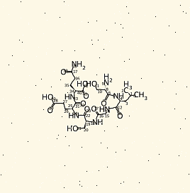 CC(C)C[C@H](NC(=O)[C@@H](N)CO)C(=O)NCC(=O)N[C@@H](CO)C(=O)N[C@@H](CCC(=O)O)C(=O)N[C@@H](CCC(N)=O)C(=O)O